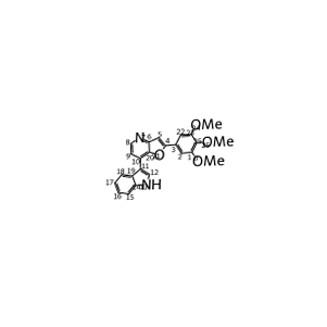 COc1cc(-c2cc3nccc(-c4c[nH]c5ccccc45)c3o2)cc(OC)c1OC